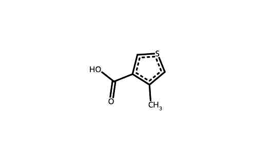 Cc1cscc1C(=O)O